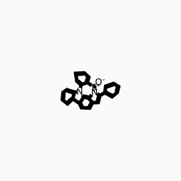 [O-][s+]1c2ccccc2n2c3ccccc3c3ccc4cc(-c5ccccc5)n1c4c32